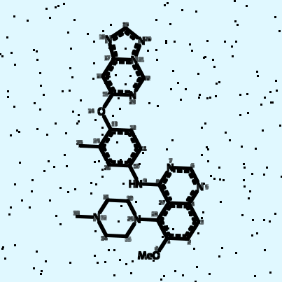 COc1ccc2ncnc(Nc3ccc(Oc4cc5ncnn5cn4)c(C)c3)c2c1N1CCN(C)CC1